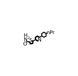 CCCC1CCC(c2ccc(-c3ccc(C(N)=O)s3)cn2)CC1